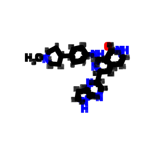 CN1CCC(c2ccc(Nc3nc(-c4cnc5[nH]ccc5n4)cc4cc[nH]c(=O)c34)cc2)CC1